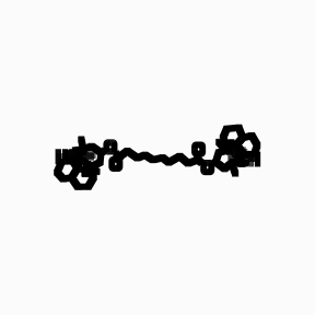 CC1(C)CC(OC(=O)CCCCCCCCC(=O)OC2CC(C)(C)[N+](O)(C34CCCCC3CCCC4)C(C)(C)C2)CC(C)(C)[N+]1(O)C12CCCCC1CCCC2